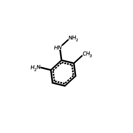 Cc1cccc(N)c1NN